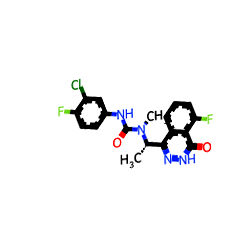 C[C@@H](c1n[nH]c(=O)c2c(F)cccc12)N(C)C(=O)Nc1ccc(F)c(Cl)c1